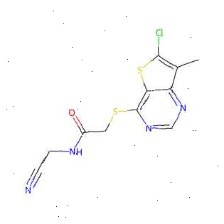 Cc1c(Cl)sc2c(SCC(=O)NCC#N)ncnc12